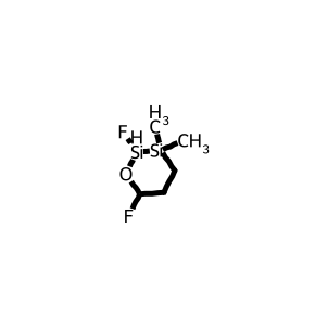 C[Si]1(C)CCC(F)O[SiH]1F